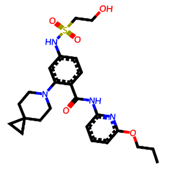 CCCOc1cccc(NC(=O)c2ccc(NS(=O)(=O)CCO)cc2N2CCC3(CC2)CC3)n1